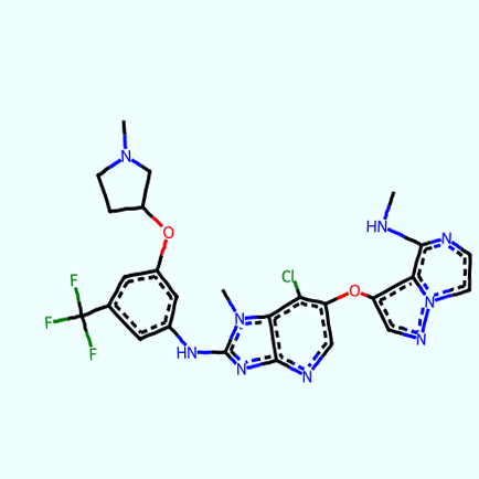 CNc1nccn2ncc(Oc3cnc4nc(Nc5cc(OC6CCN(C)C6)cc(C(F)(F)F)c5)n(C)c4c3Cl)c12